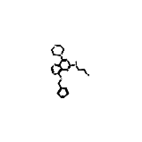 OCCNc1nc(N2CCOCC2)c2ncnc(SCc3ccccc3)c2n1